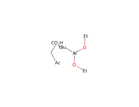 CC(=O)CC(=O)O.CC[O][Al]([O]CC)[C](C)(C)C